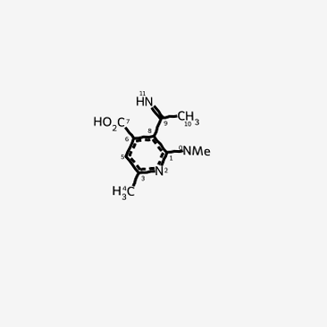 CNc1nc(C)cc(C(=O)O)c1C(C)=N